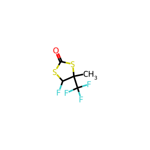 CC1(C(F)(F)F)SC(=O)SC1F